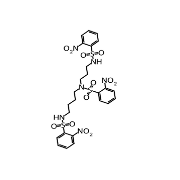 O=[N+]([O-])c1ccccc1S(=O)(=O)NCCCCN(CCCNS(=O)(=O)c1ccccc1[N+](=O)[O-])S(=O)(=O)c1ccccc1[N+](=O)[O-]